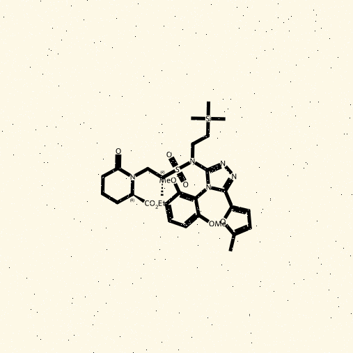 CCOC(=O)[C@H]1CCCC(=O)N1C[C@@H](C)S(=O)(=O)N(CC[Si](C)(C)C)c1nnc(-c2ccc(C)o2)n1-c1c(OC)cccc1OC